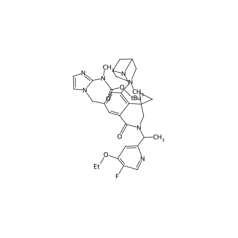 CCOc1cc(C(C)N2CC3(CC3)c3c(CN4C5CC4CN(C)C5)cc(Cn4ccnc4N(C)C(=O)OC(C)(C)C)cc3C2=O)ncc1F